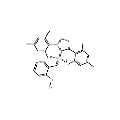 Cc1cc(C)c(N2CCN(c3c(C)cc(C)cc3C)[CH]2[Ru]([Cl])([Cl])=[CH]c2ccccc2OC(C)C)c(C)c1